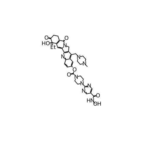 CC[C@@]1(O)C(=O)CCc2c1cc1n(c2=O)Cc2c-1nc1ccc(OC(=O)N3CCN(c4ncc(C(=O)NO)cn4)CC3)cc1c2CN1CCN(C)CC1